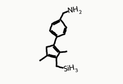 CC1=C(C[SiH3])C(C)=C(c2ccc(CN)cc2)C1